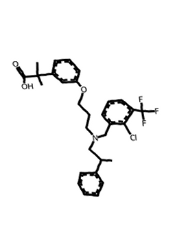 CC(CN(CCCOc1cccc(C(C)(C)C(=O)O)c1)Cc1cccc(C(F)(F)F)c1Cl)c1ccccc1